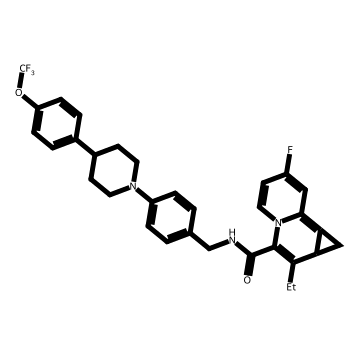 CCC1=C(C(=O)NCc2ccc(N3CCC(c4ccc(OC(F)(F)F)cc4)CC3)cc2)N2C=CC(F)=CC2=C2CC21